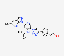 C[C@H](C#N)Nc1cc(-n2ncc3cc(C#N)cnc32)ncc1-n1cc(C23CCC(CCO)(CC2)C3)nn1